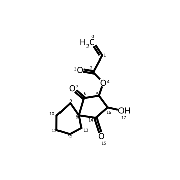 C=CC(=O)OC1C(=O)C2(CCCCC2)C(=O)C1O